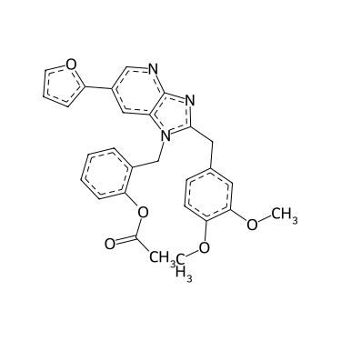 COc1ccc(Cc2nc3ncc(-c4ccco4)cc3n2Cc2ccccc2OC(C)=O)cc1OC